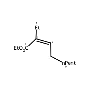 CCCCCCC=C(CC)C(=O)OCC